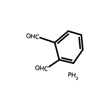 O=Cc1ccccc1C=O.P